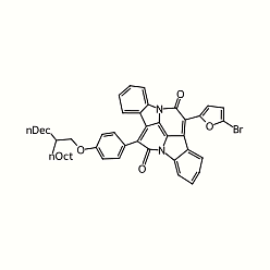 CCCCCCCCCCC(CCCCCCCC)COc1ccc(-c2c(=O)n3c4ccccc4c4c(-c5ccc(Br)o5)c(=O)n5c6ccccc6c2c5c43)cc1